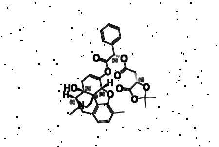 Cc1ccc2c3c1O[C@H]1C(OC(=O)[C@@H](OC(=O)C[C@@H]4OC(C)(C)OC4=O)c4ccccc4)=CC[C@@]4(O)[C@@H](C2)N(C)CC[C@]314